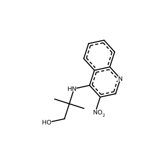 CC(C)(CO)Nc1c([N+](=O)[O-])cnc2ccccc12